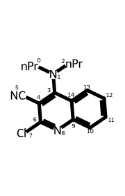 CCCN(CCC)c1c(C#N)c(Cl)nc2ccccc12